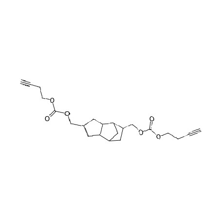 C#CCCOC(=O)OCC1CC2C3CC(COC(=O)OCCC#C)C(C3)C2C1